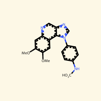 COc1cc2ncc3ncn(-c4ccc(NC(=O)O)cc4)c3c2cc1OC